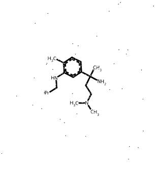 Cc1ccc(C(C)(N)CCN(C)C)cc1NCC(C)C